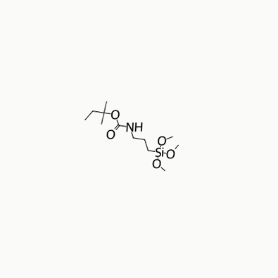 CCC(C)(C)OC(=O)NCCC[Si](OC)(OC)OC